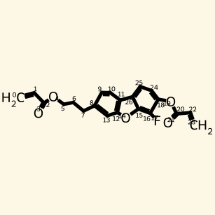 C=CC(=O)OCCCc1ccc2c(c1)oc1c(F)c(OC(=O)C=C)ccc12